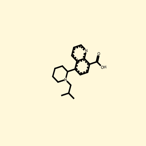 CC(C)CN1CCCCC1c1ccc(C(=O)O)c2ncccc12